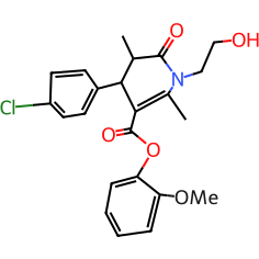 COc1ccccc1OC(=O)C1=C(C)N(CCO)C(=O)C(C)C1c1ccc(Cl)cc1